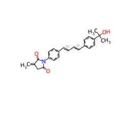 C=C1CC(=O)N(c2ccc(/C=C/C=C/c3ccc(C(C)(C)O)cc3)cc2)C1=O